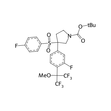 COC(c1ccc(C2(S(=O)(=O)c3ccc(F)cc3)CCN(C(=O)OC(C)(C)C)C2)cc1F)(C(F)(F)F)C(F)(F)F